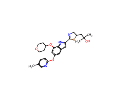 Cc1ccc(Oc2cc(OC3CCOCC3)c3[nH]c(C4=NCC(CC(C)(C)O)S4)cc3c2)nc1